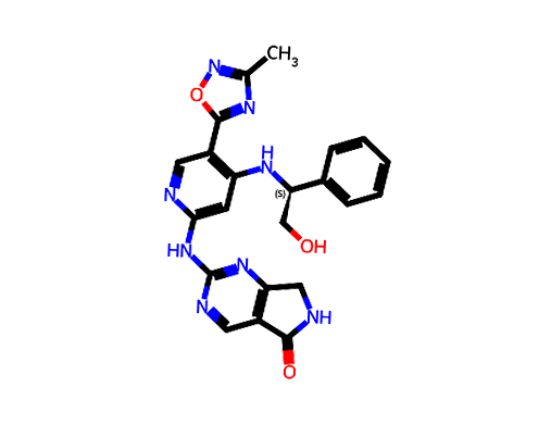 Cc1noc(-c2cnc(Nc3ncc4c(n3)CNC4=O)cc2N[C@H](CO)c2ccccc2)n1